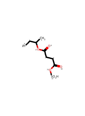 CC(C)CC(C)OC(=O)CCC(=O)OS(=O)(=O)O